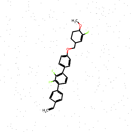 C=Cc1ccc(-c2ccc(-c3ccc(OCC4C=C(F)C(OC)CC4)cc3)c(F)c2F)cc1